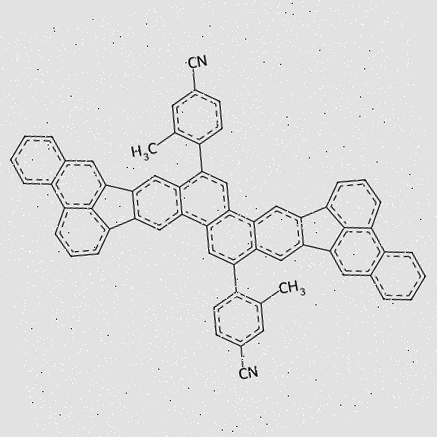 Cc1cc(C#N)ccc1-c1cc2c3cc4c(cc3c(-c3ccc(C#N)cc3C)cc2c2cc3c(cc12)-c1cc2ccccc2c2cccc-3c12)-c1cc2ccccc2c2cccc-4c12